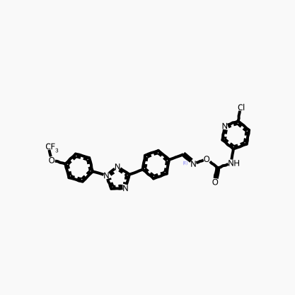 O=C(Nc1ccc(Cl)nc1)O/N=C/c1ccc(-c2ncn(-c3ccc(OC(F)(F)F)cc3)n2)cc1